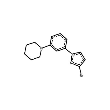 Brc1ccn(-c2cccc(N3CCCCC3)c2)n1